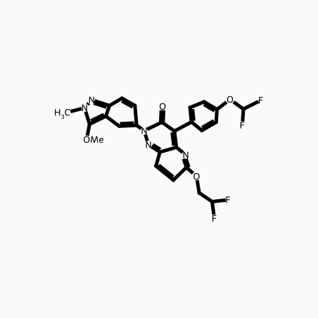 COc1c2cc(-n3nc4ccc(OCC(F)F)nc4c(-c4ccc(OC(F)F)cc4)c3=O)ccc2nn1C